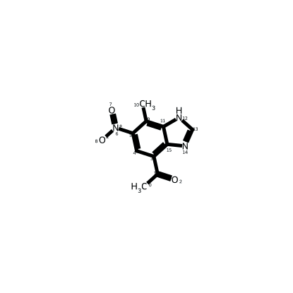 CC(=O)c1cc([N+](=O)[O-])c(C)c2[nH]cnc12